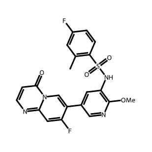 COc1ncc(-c2cn3c(=O)ccnc3cc2F)cc1NS(=O)(=O)c1ccc(F)cc1C